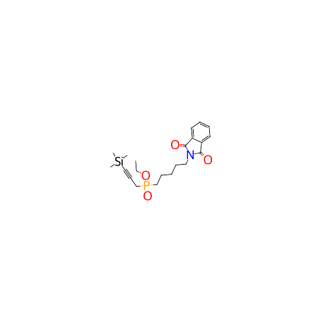 CCOP(=O)(CC#C[Si](C)(C)C)CCCCCN1C(=O)c2ccccc2C1=O